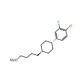 COCCCC[C@H]1CC[C@H](c2ccc(Cl)c(F)c2)CC1